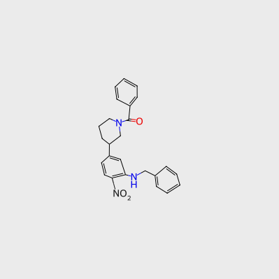 O=C(c1ccccc1)N1CCCC(c2ccc([N+](=O)[O-])c(NCc3ccccc3)c2)C1